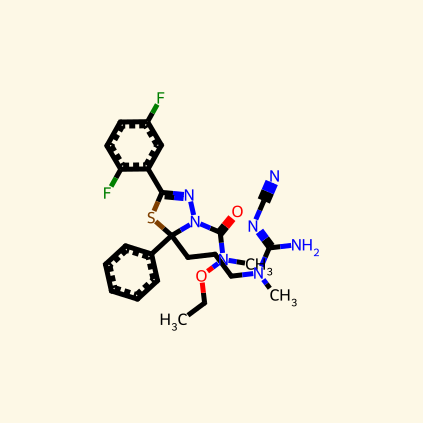 CCON(C)C(=O)N1N=C(c2cc(F)ccc2F)SC1(CCCN(C)C(N)=NC#N)c1ccccc1